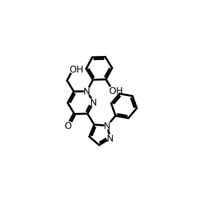 O=c1cc(CO)n(-c2ccccc2O)nc1-c1ccnn1-c1ccccc1